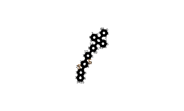 c1ccc(-c2c3ccccc3c(-c3ccc(-c4ccc5c(c4)sc4cc6c(cc45)sc4cc5ccccc5cc46)cc3)c3ccccc23)cc1